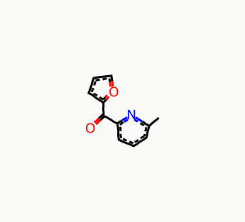 Cc1cccc(C(=O)c2ccco2)n1